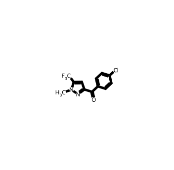 Cn1nc(C(=O)c2ccc(Cl)cc2)cc1C(F)(F)F